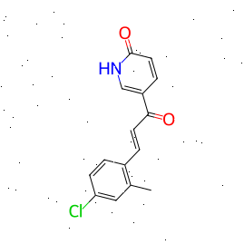 Cc1cc(Cl)ccc1C=CC(=O)c1ccc(=O)[nH]c1